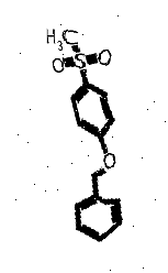 CS(=O)(=O)c1ccc(OCc2ccccc2)cc1